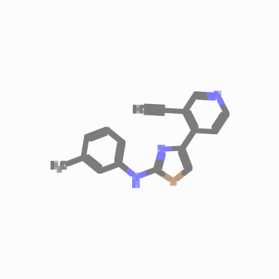 C#Cc1cnccc1-c1csc(Nc2cccc(C)c2)n1